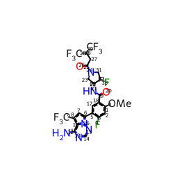 COc1cc(F)c(-c2cc(C(F)(F)F)c3c(N)ncnn23)cc1C(=O)N[C@@H]1CN(C(=O)CC(C(F)(F)F)C(F)(F)F)C[C@@H]1F